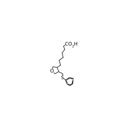 O=C(O)CCCCCCC1COCC1CSc1ccccc1